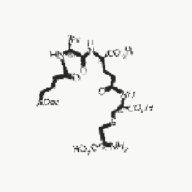 CCCCCCCCCCCCCC(=O)N[C@H](C(=O)N[C@H](CCC(=O)N[C@H](CSC[C@H](N)C(=O)O)C(=O)O)C(=O)O)C(C)C